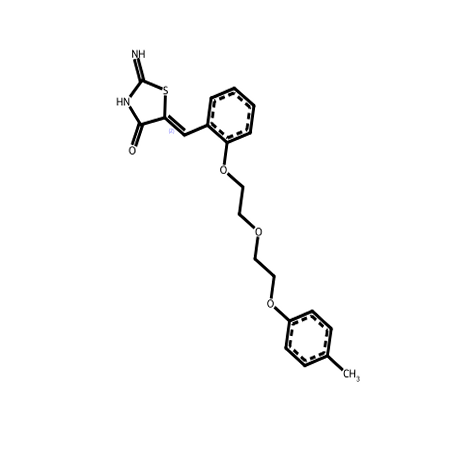 Cc1ccc(OCCOCCOc2ccccc2/C=C2\SC(=N)NC2=O)cc1